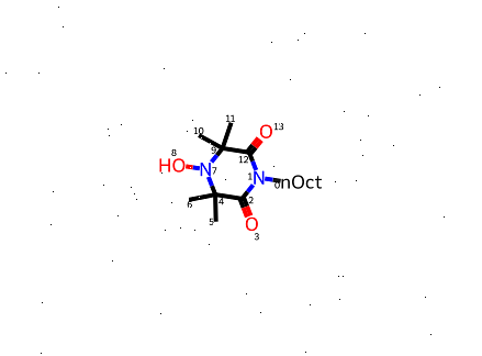 CCCCCCCCN1C(=O)C(C)(C)N(O)C(C)(C)C1=O